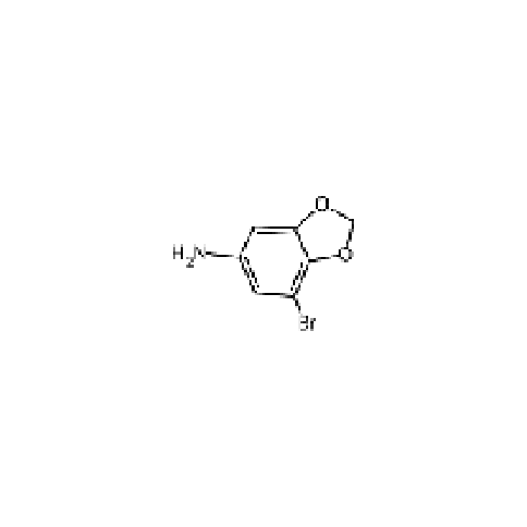 Nc1cc(Br)c2c(c1)OCO2